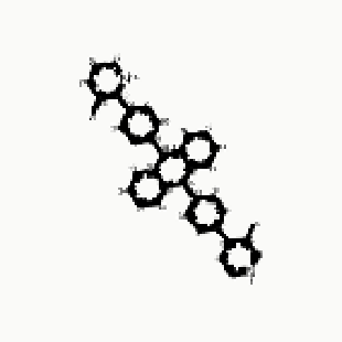 Cc1cnccc1-c1ccc(-c2c3ccccc3c(-c3ccc(-c4ncccc4C)cc3)c3ccccc23)cc1